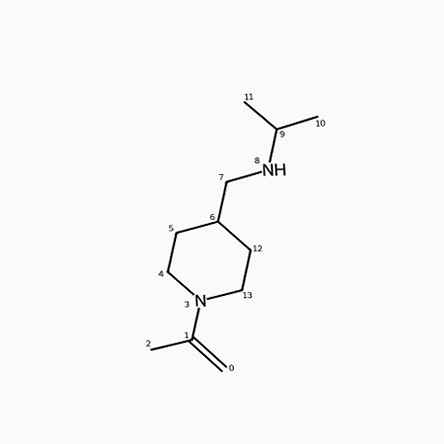 C=C(C)N1CCC(CNC(C)C)CC1